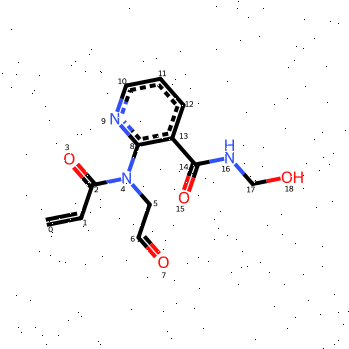 C=CC(=O)N(C[C]=O)c1ncccc1C(=O)NCO